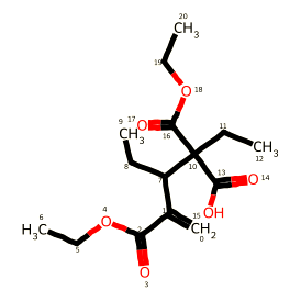 C=C(C(=O)OCC)C(CC)C(CC)(C(=O)O)C(=O)OCC